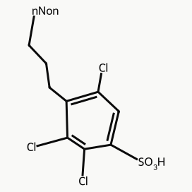 CCCCCCCCCCCCc1c(Cl)cc(S(=O)(=O)O)c(Cl)c1Cl